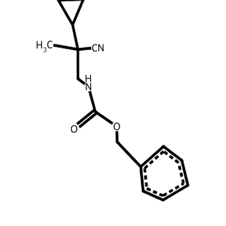 CC(C#N)(CNC(=O)OCc1ccccc1)C1CC1